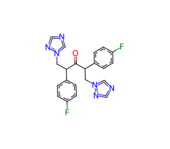 O=C(C(Cn1cncn1)c1ccc(F)cc1)C(Cn1cncn1)c1ccc(F)cc1